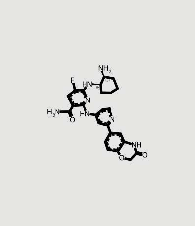 NC(=O)c1cc(F)c(N[C@@H]2CCCC[C@@H]2N)nc1Nc1ccnc(-c2ccc3c(c2)NC(=O)CO3)c1